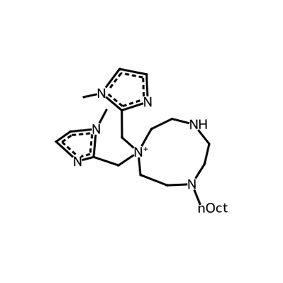 CCCCCCCCN1CCNCC[N+](Cc2nccn2C)(Cc2nccn2C)CC1